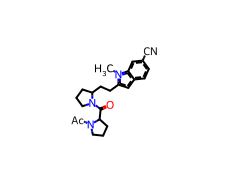 CC(=O)N1CCCC1C(=O)N1CCCC1CCc1cc2ccc(C#N)cc2n1C